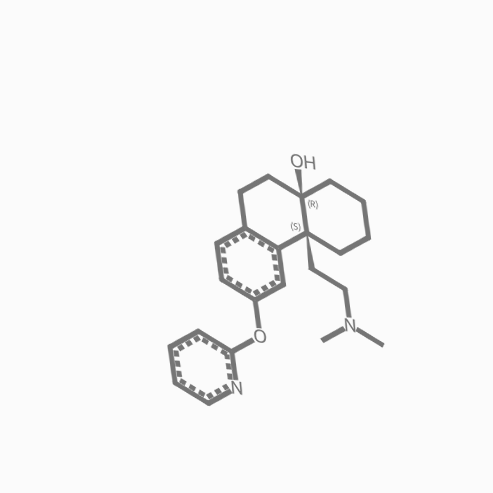 CN(C)CC[C@]12CCCC[C@@]1(O)CCc1ccc(Oc3ccccn3)cc12